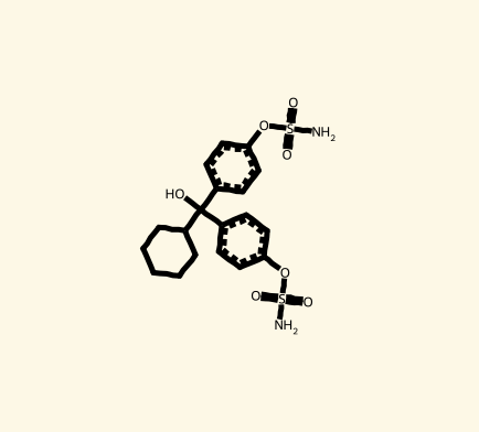 NS(=O)(=O)Oc1ccc(C(O)(c2ccc(OS(N)(=O)=O)cc2)C2CCCCC2)cc1